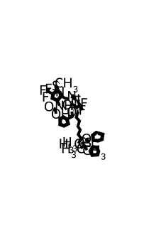 CSc1nc(-c2nnc([C@@](CCCCCCC(C)O[Si](c3ccccc3)(c3ccccc3)C(C)(C)C)(OCc3ccccc3)C(F)(F)F)o2)c(NC(=O)O)cc1C(F)(F)F